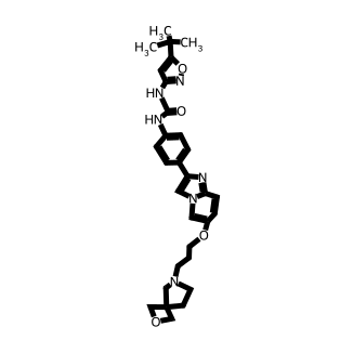 CC(C)(C)c1cc(NC(=O)Nc2ccc(-c3cn4cc(OCCCN5CCC6(COC6)C5)ccc4n3)cc2)no1